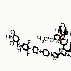 CCOc1ccc(CN2[C@@H]3COC[C@H]2CN(c2ccc(-c4nc(-c5cnn([C@H]6CC[C@H](N7CCN(c8c(F)cc(NC9CCC(=O)NC9=O)cc8F)CC7)CC6)c5)cn5ncc(C#N)c45)cn2)C3)cn1